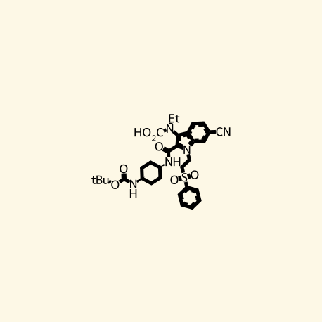 CCN(C(=O)O)c1c(C(=O)N[C@H]2CC[C@H](NC(=O)OC(C)(C)C)CC2)n(CCS(=O)(=O)c2ccccc2)c2cc(C#N)ccc12